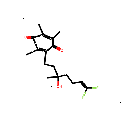 CC1=C(C)C(=O)C(CCC(C)(O)CCC=C(F)F)=C(C)C1=O